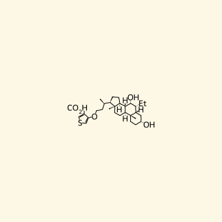 CC[C@H]1[C@@H](O)[C@@H]2[C@H](CC[C@]3(C)[C@@H]([C@H](C)CCOc4cscc4C(=O)O)CC[C@@H]23)[C@@]2(C)CC[C@@H](O)C[C@@H]12